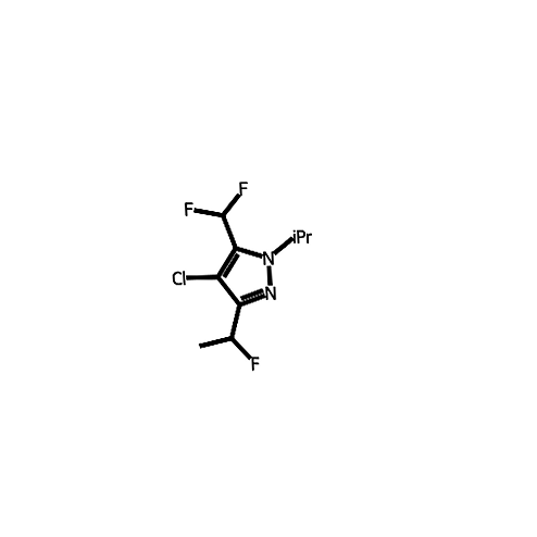 CC(F)c1nn(C(C)C)c(C(F)F)c1Cl